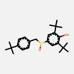 CC(C)(C)c1ccc(C[S+]([O-])c2cc(C(C)(C)C)c(O)c(C(C)(C)C)c2)cc1